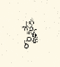 C=CC(=O)Nc1cc(Nc2cc(N3OCC[C@@H]3c3cccc(Oc4ccccc4)c3)ncn2)c(F)cc1N1CCN(C)CC1